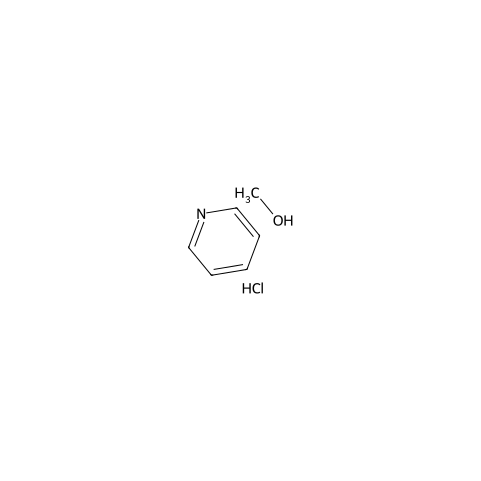 CO.Cl.c1ccncc1